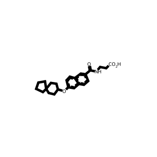 O=C(O)CCNC(=O)c1ccc2cc(OC3CCC4(CCCC4)CC3)ccc2c1